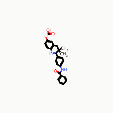 CC1(C)Cc2cc(OC(=O)O)ccc2NC1c1ccc(NC(=O)c2ccccc2)cc1